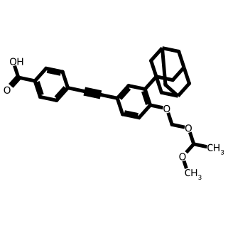 COC(C)OCOc1ccc(C#Cc2ccc(C(=O)O)cc2)cc1C12CC3CC(CC(C3)C1)C2